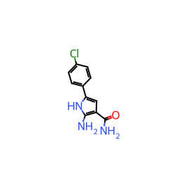 NC(=O)c1cc(-c2ccc(Cl)cc2)[nH]c1N